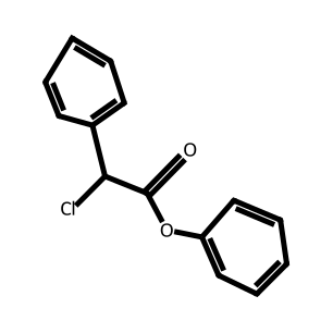 O=C(Oc1ccccc1)C(Cl)c1ccccc1